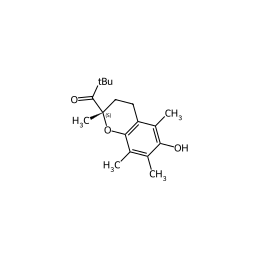 Cc1c(C)c2c(c(C)c1O)CC[C@@](C)(C(=O)C(C)(C)C)O2